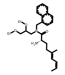 C/C=C\C=C(/C)CC[C@H](N)C(=O)N(Cc1cccc2ccccc12)CC(COCC)OCC